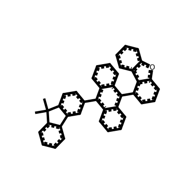 CC1(C)c2ccccc2-c2cc(-c3c4ccccc4c(-c4cccc5oc6ccccc6c45)c4ccccc34)ccc21